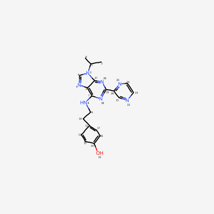 CC(C)n1cnc2c(NCCc3ccc(O)cc3)nc(-c3cnccn3)nc21